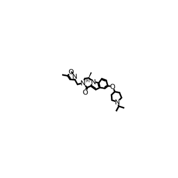 Cc1cc(CN2C[C@@H](C)n3c(cc4cc(OC5CCN(C(C)C)CC5)ccc43)C2=O)no1